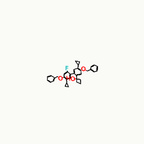 OC1(c2cc(OCc3ccccc3)c(C3CC3)cc2-c2cc(C3CC3)c(OCc3ccccc3)cc2F)CCC1